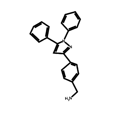 NCc1ccc(-c2cc(-c3ccccc3)n(-c3ccccc3)n2)cc1